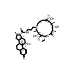 CC[C@H]1OC(=O)[C@H](C)[C@@H](O)[C@H](C)[C@@H](O)[C@](C)(O)C[C@@H](C)CN(CCCNC(=O)[C@H]2[C@H](C)CC3C4CCC5=CC(=O)C=C[C@]5(C)[C@@]4(F)[C@@H](O)C[C@@]32C)[C@H](C)[C@@H](O)[C@]1(C)O